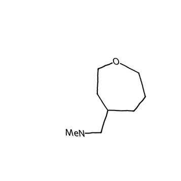 CNCC1CCCOCC1